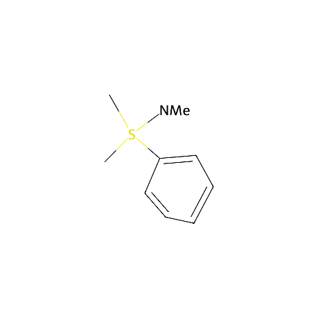 CNS(C)(C)c1ccccc1